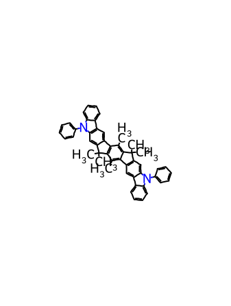 Cc1c2c(c(C)c3c1C(C)(C)c1cc4c(cc1-3)c1ccccc1n4-c1ccccc1)C(C)(C)c1cc3c(cc1-2)c1ccccc1n3-c1ccccc1